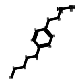 CCCCOc1ccc(CCNO)cc1